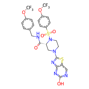 O=C(NCc1ccc(OC(F)(F)F)cc1)[C@H]1CN(c2nc3nc(O)ncc3s2)CCN1S(=O)(=O)c1ccc(OC(F)(F)F)cc1